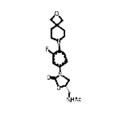 CC(=O)NC[C@H]1CN(c2ccc(N3CCC4(CC3)COC4)c(F)c2)C(=O)O1